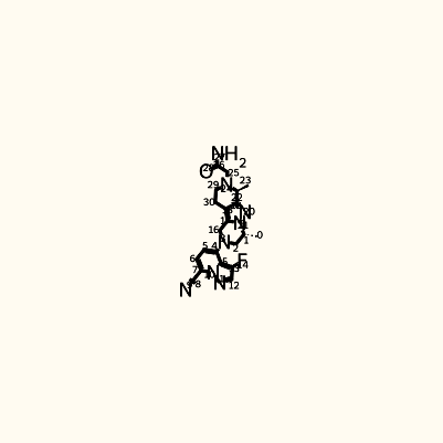 C[C@@H]1CN(c2ccc(C#N)n3ncc(F)c23)Cc2c3c(nn21)[C@H](C)N(CC(N)=O)CC3